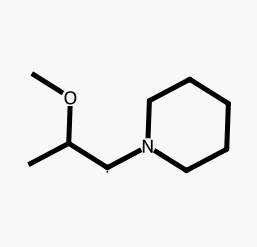 COC(C)[CH]N1CCCCC1